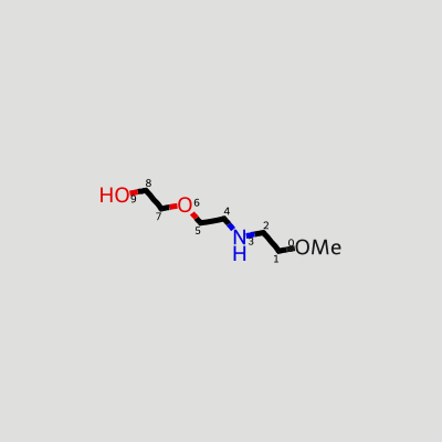 COCCNCCOCCO